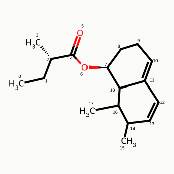 CC[C@H](C)C(=O)O[C@H]1CCC=C2C=CC(C)C(C)C21